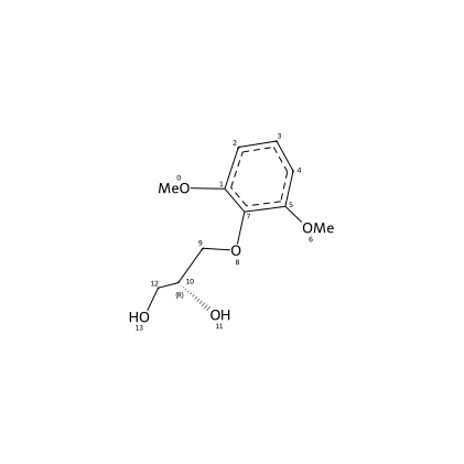 COc1cccc(OC)c1OC[C@H](O)CO